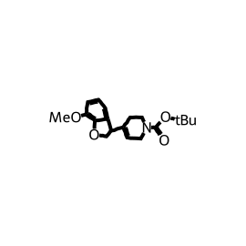 COc1cccc2c1OCC2C1=CCN(C(=O)OC(C)(C)C)CC1